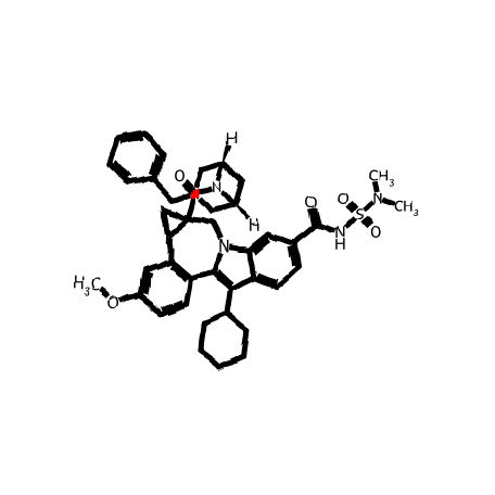 COc1ccc2c(c1)C1CC1(C(=O)N1[C@@H]3C[C@H]1CN(Cc1ccccc1)C3)Cn1c-2c(C2CCCCC2)c2ccc(C(=O)NS(=O)(=O)N(C)C)cc21